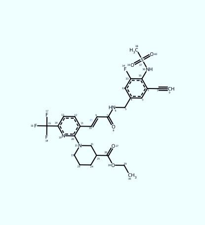 C#Cc1cc(CNC(=O)/C=C/c2ccc(C(F)(F)F)nc2N2CCCC(C(=O)OCC)C2)cc(F)c1NS(C)(=O)=O